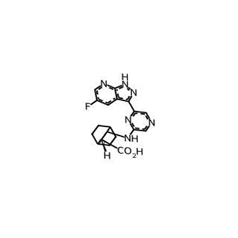 O=C(O)[C@@H]1C2CCC(CC2)C1Nc1cncc(-c2n[nH]c3ncc(F)cc23)n1